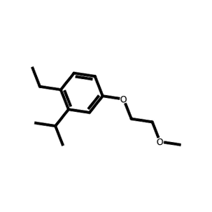 CCc1ccc(OCCOC)cc1C(C)C